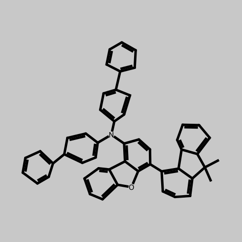 CC1(C)c2ccccc2-c2c(-c3ccc(N(c4ccc(-c5ccccc5)cc4)c4ccc(-c5ccccc5)cc4)c4c3oc3ccccc34)cccc21